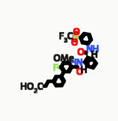 COc1cc(F)c(-c2cccc(CCC(=O)O)c2)cc1C(=O)N[C@@H]1[C@H](C(=O)Nc2cccc(S(=O)(=O)C(F)(F)F)c2)[C@H]2C=C[C@@H]1C2